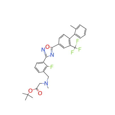 Cc1ccccc1-c1ccc(-c2nc(-c3cccc(CN(C)CC(=O)OC(C)(C)C)c3F)no2)cc1C(F)(F)F